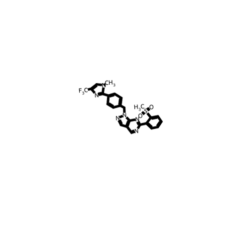 Cn1cc(C(F)(F)F)nc1-c1ccc(Cn2ncc3cnc(-c4ccccc4S(C)(=O)=O)nc32)cc1